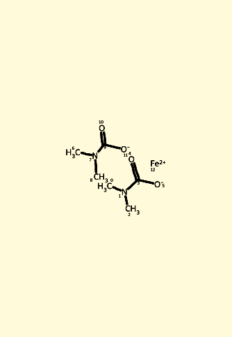 CN(C)C(=O)[O-].CN(C)C(=O)[O-].[Fe+2]